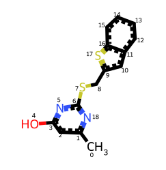 Cc1cc(O)nc(SCc2cc3ccccc3s2)n1